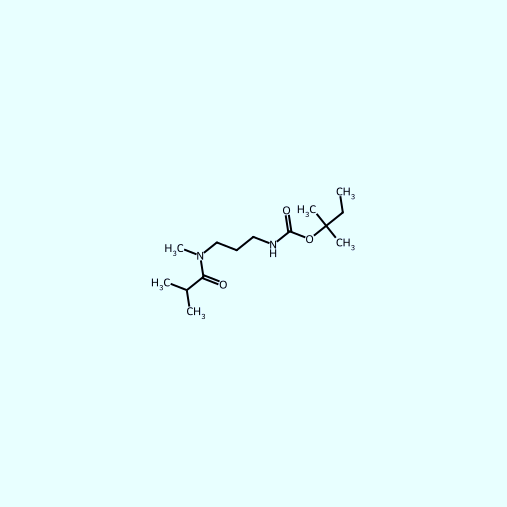 CCC(C)(C)OC(=O)NCCCN(C)C(=O)C(C)C